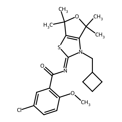 COc1ccc(Cl)cc1C(=O)/N=c1\sc2c(n1CC1CCC1)C(C)(C)OC2(C)C